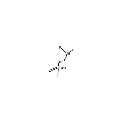 CS(=O)(=O)O.[F][Zn]([F])[F]